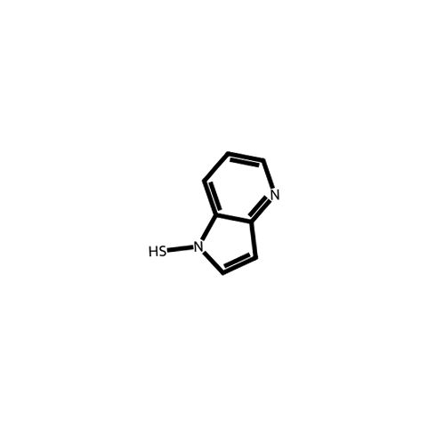 Sn1ccc2ncccc21